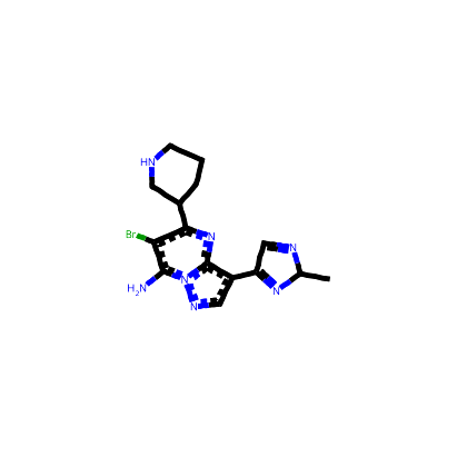 CC1N=CC(c2cnn3c(N)c(Br)c(C4CCCNC4)nc23)=N1